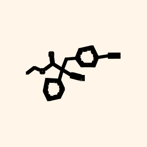 C#Cc1ccc(CC(C#N)(C(=O)OCC)c2ccccc2)cc1